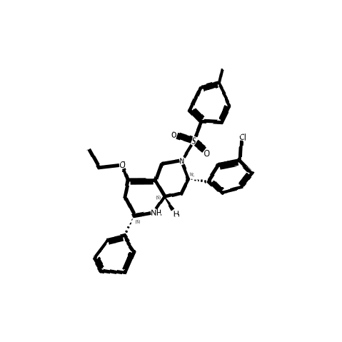 CCOC1=C2CN(S(=O)(=O)c3ccc(C)cc3)[C@H](c3cccc(Cl)c3)C[C@@H]2N[C@H](c2ccccc2)C1